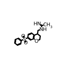 CC(=N)NCC1CCOc2cc(S(=O)(=O)c3ccccc3)ccc21